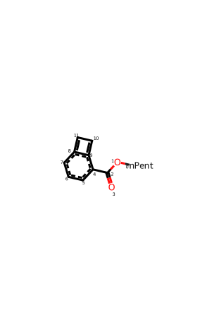 CCCCCOC(=O)c1cccc2c1=CC=2